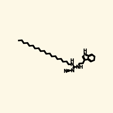 CCCCCCCCCCCCCCCCCCCN/C(=N\C#N)NCCc1c[nH]c2c1=CCCC=2